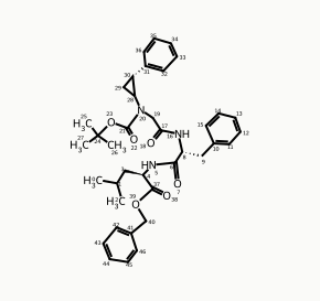 CC(C)C[C@@H](NC(=O)[C@@H](Cc1ccccc1)NC(=O)CN(C(=O)OC(C)(C)C)C1C[C@@H]1c1ccccc1)C(=O)OCc1ccccc1